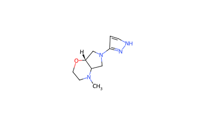 CN1CCO[C@@H]2CN(c3cc[nH]n3)CC21